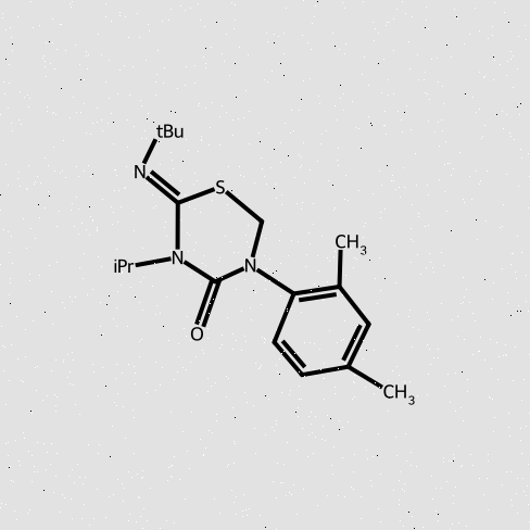 Cc1ccc(N2CS/C(=N\C(C)(C)C)N(C(C)C)C2=O)c(C)c1